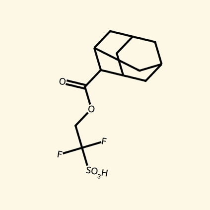 O=C(OCC(F)(F)S(=O)(=O)O)C1C2CC3CC(C2)CC1C3